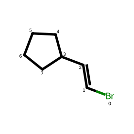 BrC=CC1CCCC1